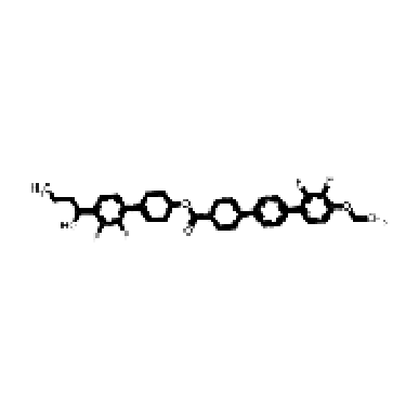 CCCC(O)c1ccc(C2=CCC(OC(=O)C3CCC(c4ccc(-c5ccc(OCC)c(F)c5F)cc4)CC3)CC2)c(F)c1F